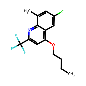 CCCCOc1cc(C(F)(F)F)nc2c(C)cc(Cl)cc12